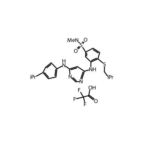 CNS(=O)(=O)c1ccc(SCC(C)C)c(Nc2cc(Nc3ccc(C(C)C)cc3)ncn2)c1.O=C(O)C(F)(F)F